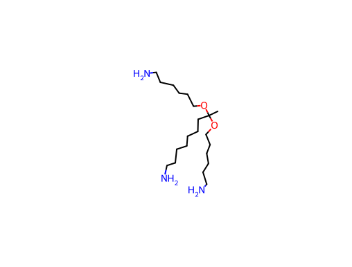 CC(CCCCCCCN)(OCCCCCCN)OCCCCCCN